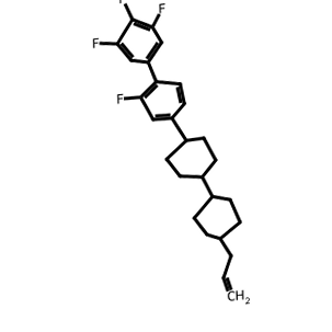 C=CCC1CCC(C2CCC(c3ccc(-c4cc(F)c(F)c(F)c4)c(F)c3)CC2)CC1